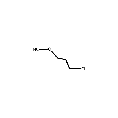 N#COCCCCl